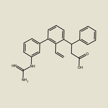 C=Cc1c(-c2cccc(NC(=N)N)c2)cccc1C(CC(=O)O)c1ccccc1